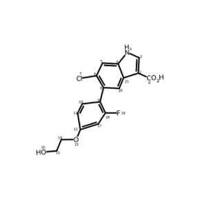 O=C(O)c1c[nH]c2cc(Cl)c(-c3ccc(OCCO)cc3F)cc12